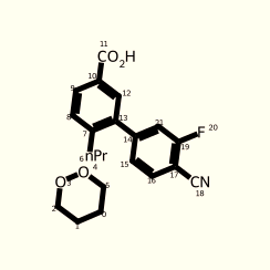 C1CCOOC1.CCCc1ccc(C(=O)O)cc1-c1ccc(C#N)c(F)c1